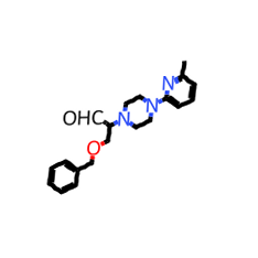 Cc1cccc(N2CCN(C(C=O)COCc3ccccc3)CC2)n1